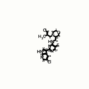 CC(C=O)CN1CCOCC1CNc1nc(-c2c[nH]c3ncc(Cl)cc23)ncc1F